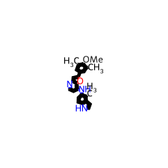 COc1c(C)cc(-c2cc3nccc(Nc4ccc5[nH]ccc5c4C)c3o2)cc1C